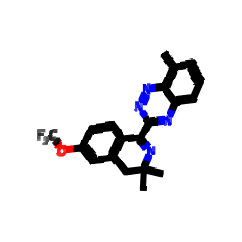 Cc1cccc2nc(C3=NC(C)(C)Cc4cc(OC(F)(F)F)ccc43)nnc12